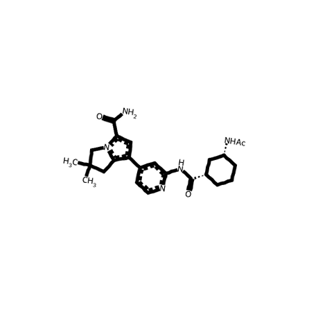 CC(=O)N[C@@H]1CCC[C@H](C(=O)Nc2cc(-c3cc(C(N)=O)n4c3CC(C)(C)C4)ccn2)C1